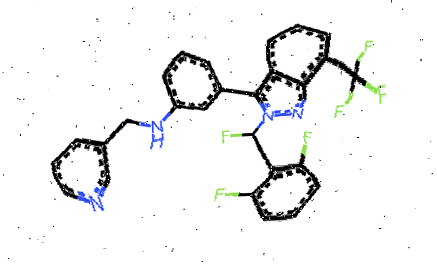 Fc1cccc(F)c1C(F)n1nc2c(C(F)(F)F)cccc2c1-c1cccc(NCc2cccnc2)c1